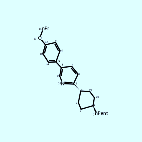 CCCCC[C@H]1CC[C@H](c2ccc(-c3ccc(OCCC)cc3)cn2)CC1